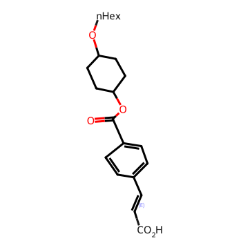 CCCCCCOC1CCC(OC(=O)c2ccc(/C=C/C(=O)O)cc2)CC1